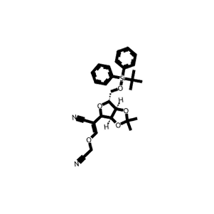 CC1(C)O[C@@H]2[C@@H](CO[Si](c3ccccc3)(c3ccccc3)C(C)(C)C)OC(C(C#N)=COCC#N)[C@@H]2O1